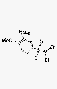 CCN(CC)S(=O)(=O)c1ccc(OC)c(NC)c1